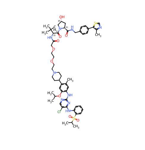 Cc1cc(Nc2ncc(Cl)c(Nc3ccccc3S(=O)(=O)C(C)C)n2)c(OC(C)C)cc1C1CCN(CCOCCOCC(=O)N[C@H](C(=O)N2C[C@H](O)C[C@H]2C(=O)NCc2ccc(-c3scnc3C)cc2)C(C)(C)C)CC1